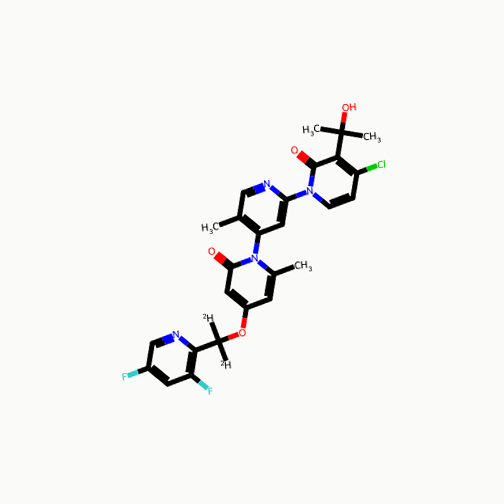 [2H]C([2H])(Oc1cc(C)n(-c2cc(-n3ccc(Cl)c(C(C)(C)O)c3=O)ncc2C)c(=O)c1)c1ncc(F)cc1F